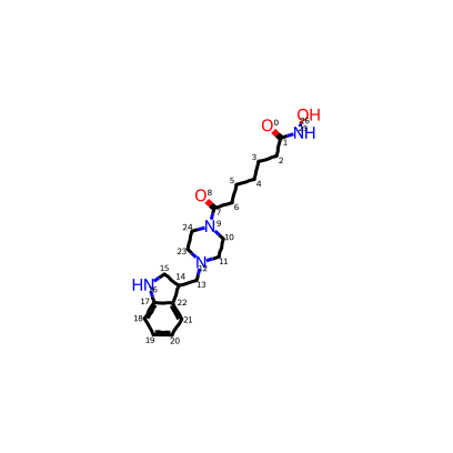 O=C(CCCCCC(=O)N1CCN(CC2CNc3ccccc32)CC1)NO